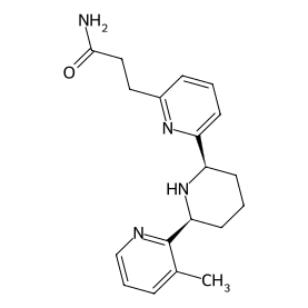 Cc1cccnc1[C@@H]1CCC[C@H](c2cccc(CCC(N)=O)n2)N1